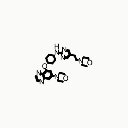 c1cnc2c(O[C@H]3CC[C@@H](Nc4ncc(CCN5CCOCC5)cn4)CC3)cc(N3CCOCC3)cc2n1